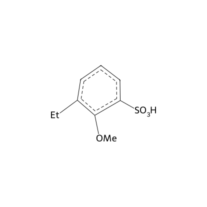 CCc1cccc(S(=O)(=O)O)c1OC